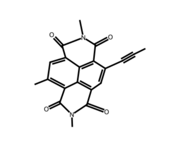 CC#Cc1cc2c3c(c(C)cc4c3c1C(=O)N(C)C4=O)C(=O)N(C)C2=O